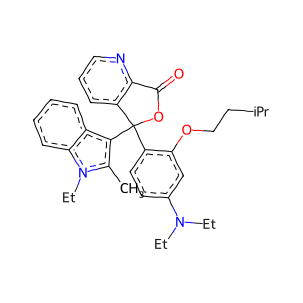 CCN(CC)c1ccc(C2(c3c(C)n(CC)c4ccccc34)OC(=O)c3ncccc32)c(OCCC(C)C)c1